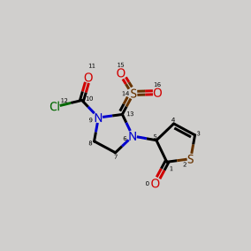 O=C1SC=CC1N1CCN(C(=O)Cl)C1=S(=O)=O